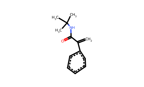 C=C(C(=O)NC(C)(C)C)c1ccccc1